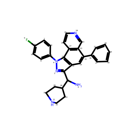 NC(c1nn(-c2ccc(F)cc2)c2c1cc(-c1ccccc1)c1cnccc12)C1CCNCC1